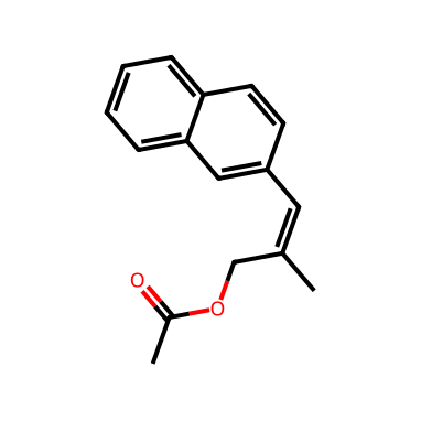 CC(=O)OCC(C)=Cc1ccc2ccccc2c1